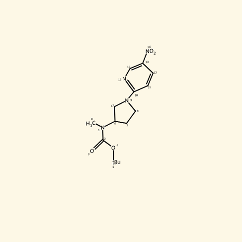 CN(C(=O)OC(C)(C)C)C1CCN(c2ccc([N+](=O)[O-])cn2)C1